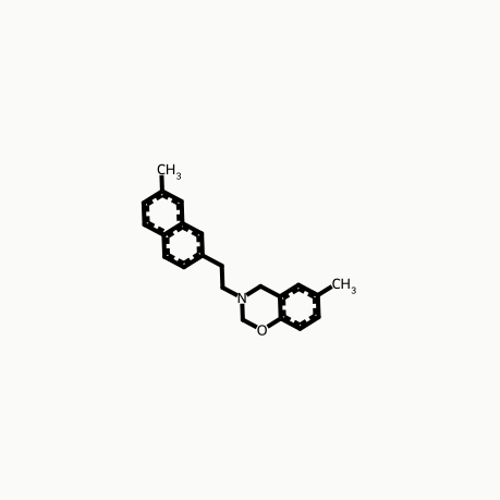 Cc1ccc2c(c1)CN(CCc1ccc3ccc(C)cc3c1)CO2